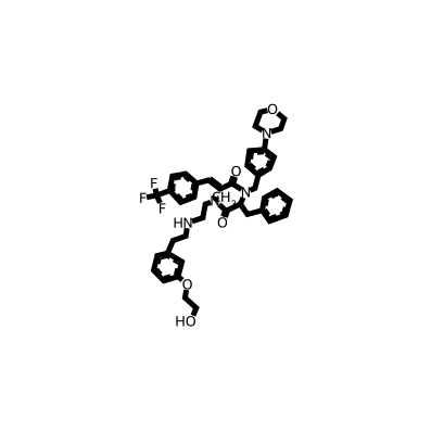 CN(CCNCCc1cccc(OCCO)c1)C(=O)C(Cc1ccccc1)N(Cc1ccc(N2CCOCC2)cc1)C(=O)C=Cc1ccc(C(F)(F)F)cc1